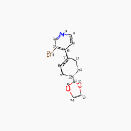 Brc1cnccc1C1=CCC(C2OCCO2)CC1